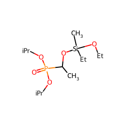 CCO[Si](C)(CC)OC(C)P(=O)(OC(C)C)OC(C)C